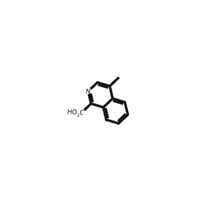 Cc1cnc(C(=O)O)c2ccccc12